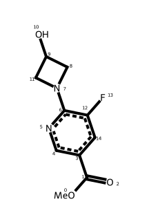 COC(=O)c1cnc(N2CC(O)C2)c(F)c1